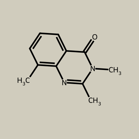 Cc1cccc2c(=O)n(C)c(C)nc12